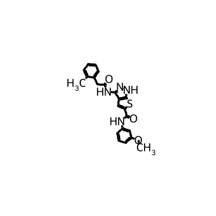 COc1cccc(NC(=O)c2cc3c(NC(=O)Cc4ccccc4C)n[nH]c3s2)c1